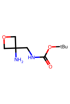 CC(C)(C)OC(=O)NCC1(N)COC1